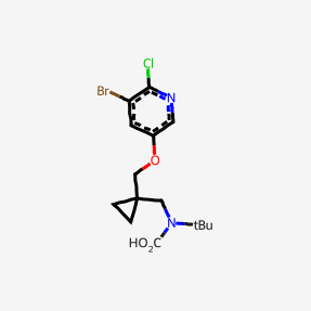 CC(C)(C)N(CC1(COc2cnc(Cl)c(Br)c2)CC1)C(=O)O